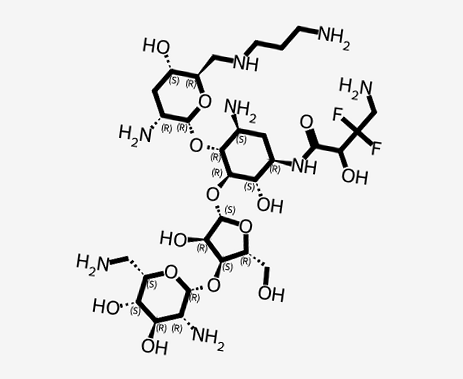 NCCCNC[C@H]1O[C@H](O[C@H]2[C@H](O[C@@H]3O[C@H](CO)[C@@H](O[C@H]4O[C@@H](CN)[C@@H](O)[C@H](O)[C@H]4N)[C@H]3O)[C@@H](O)[C@H](NC(=O)C(O)C(F)(F)CN)C[C@@H]2N)[C@H](N)C[C@@H]1O